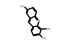 Cc1ccc2nc3c(C)c(C)ccc3cc2c1